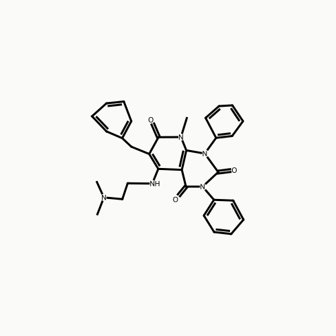 CN(C)CCNc1c(Cc2ccccc2)c(=O)n(C)c2c1c(=O)n(-c1ccccc1)c(=O)n2-c1ccccc1